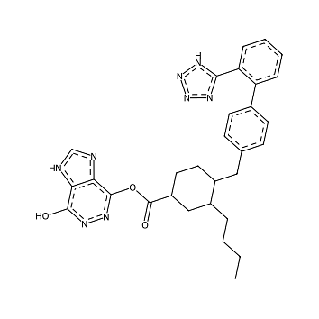 CCCCC1CC(C(=O)Oc2nnc(O)c3[nH]cnc23)CCC1Cc1ccc(-c2ccccc2-c2nnn[nH]2)cc1